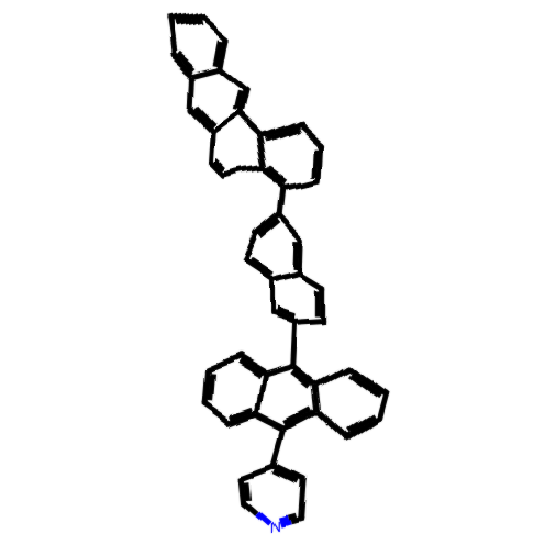 c1ccc2cc3c(ccc4c(-c5ccc6cc(-c7c8ccccc8c(-c8ccncc8)c8ccccc78)ccc6c5)cccc43)cc2c1